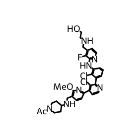 COc1nc(-c2ccnc(-c3cccc(Nc4nccc(CNCCO)c4F)c3Cl)c2Cl)ccc1CNC1CCN(C(C)=O)CC1